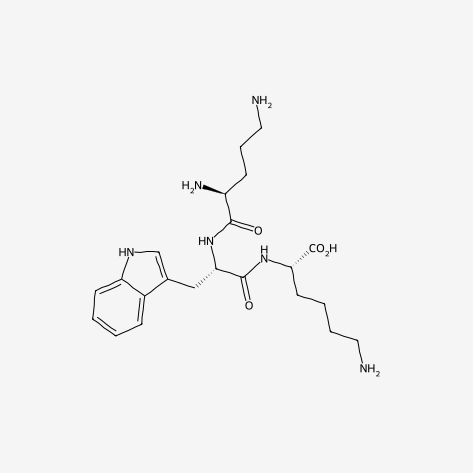 NCCCC[C@H](NC(=O)[C@H](Cc1c[nH]c2ccccc12)NC(=O)[C@@H](N)CCCN)C(=O)O